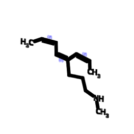 C\C=C/C=C(\C=C/C)CCCNC